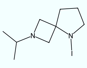 CC(C)N1CC2(CCCN2I)C1